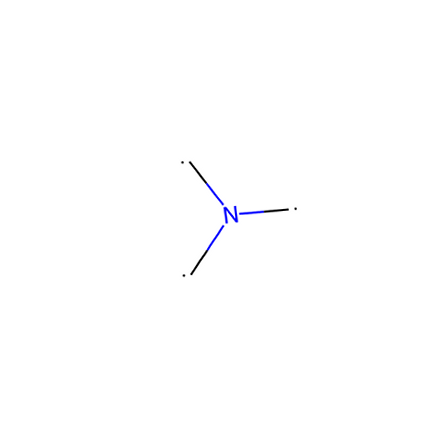 [CH2]N([CH2])[CH2]